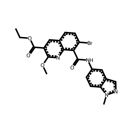 CCOC(=O)c1cc2ccc(Br)c(C(=O)Nc3ccc4c(cnn4C)c3)c2nc1OC